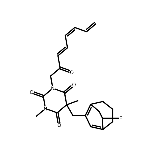 C=C/C=C\C=C\C(=O)CN1C(=O)N(C)C(=O)C(C)(CC2=C3CCCC(=C2)C(F)C3)C1=O